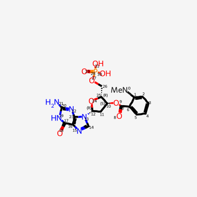 CNc1ccccc1C(=O)O[C@H]1C[C@H](n2cnc3c(=O)[nH]c(N)nc32)O[C@@H]1COP(=O)(O)O